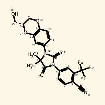 CC1(C)C(=O)N(c2ccc(C#N)c(C(F)(F)F)c2)C(=S)N1c1ccc2c(c1)O[C@H](CO)CO2